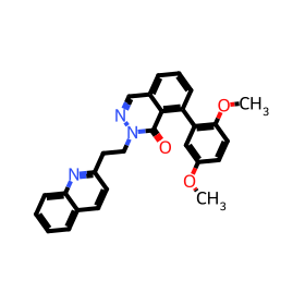 COc1ccc(OC)c(-c2cccc3cnn(CCc4ccc5ccccc5n4)c(=O)c23)c1